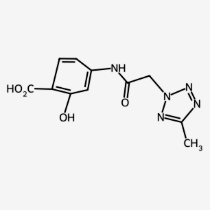 Cc1nnn(CC(=O)Nc2ccc(C(=O)O)c(O)c2)n1